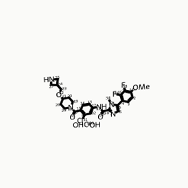 COc1ccc(-c2cnc(C(=O)Nc3ccc(C(=O)N4CCC(OCC5CNC5)CC4)c(Cl)c3)n2C)c(F)c1F.O=CO